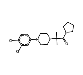 CC(C)(C(=O)N1CCCC1)N1CCN(c2ccc(Cl)c(Cl)c2)CC1